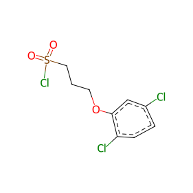 O=S(=O)(Cl)CCCOc1cc(Cl)ccc1Cl